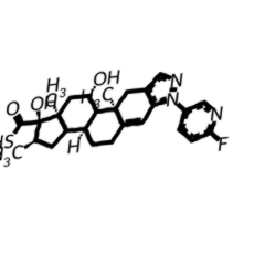 C[C@@H]1CC2[C@@H]3CCC4=Cc5c(cnn5-c5ccc(F)nc5)C[C@]4(C)C3[C@@H](O)C[C@]2(C)[C@@]1(O)C(=O)S